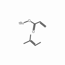 C=CC(=O)OC(C)(C)C.CC=C(C)C